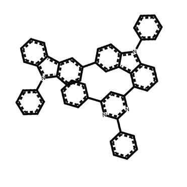 c1ccc(-c2cc(-c3cccc4c3c3cc(-c5ccc6c(c5)c5ccccc5n6-c5ccccc5)ccc3n4-c3ccccc3)nc(-c3ccccc3)n2)cc1